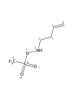 C=CCCNOS(=O)(=O)C(F)(F)F